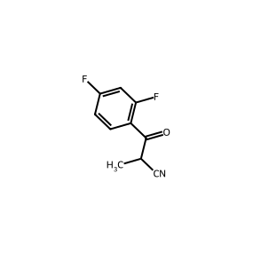 CC(C#N)C(=O)c1ccc(F)cc1F